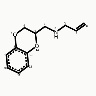 C=CCNCC1COc2cc[c]cc2O1